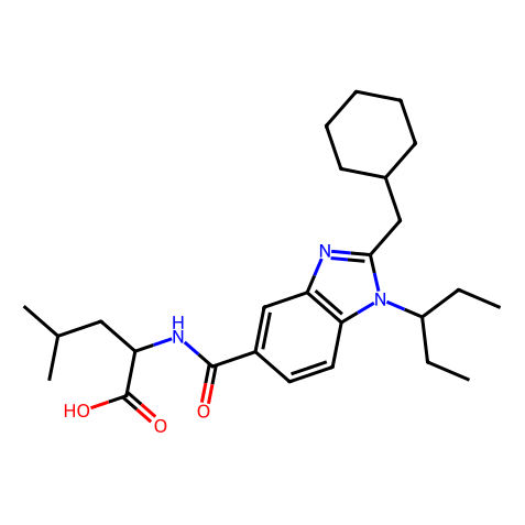 CCC(CC)n1c(CC2CCCCC2)nc2cc(C(=O)NC(CC(C)C)C(=O)O)ccc21